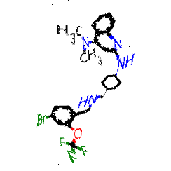 CN(C)c1cc(N[C@H]2CC[C@@H](CNCc3ccc(Br)cc3OC(F)(F)F)CC2)nc2ccccc12